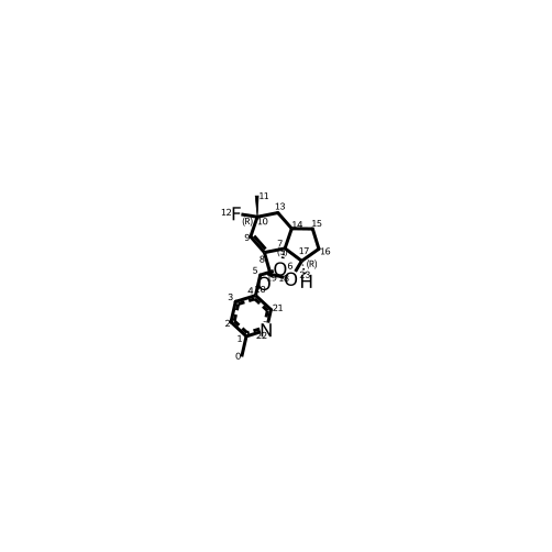 Cc1ccc(CO[C@]23C4=C[C@](C)(F)CC2CC[C@H]3OC4=O)cn1